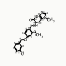 COc1cc(OCc2cccc(Cl)c2)ccc1CNC(Cc1cncn1C)C(N)=O